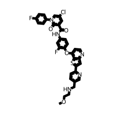 COCCNCc1ccc(-c2cc3nccc(Oc4ccc(NC(=O)c5cc(Cl)cn(-c6ccc(F)cc6)c5=O)cc4F)c3s2)nc1